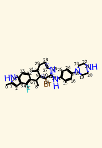 Cc1cc2c(F)c(C(C)/C3=C(Br)/C(Nc4ccc(N5CCNCC5)cc4)=N\C=C\CC3C)ccc2[nH]1